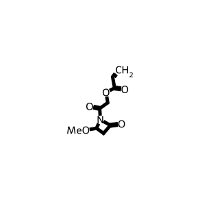 C=CC(=O)OCC(=O)N1C(=O)CC1OC